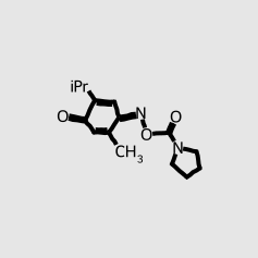 CC1=CC(=O)C(C(C)C)=C/C1=N/OC(=O)N1CCCC1